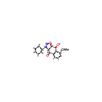 COc1cccc2c1C(=O)c1onc(-c3ccccc3)c1C2=O